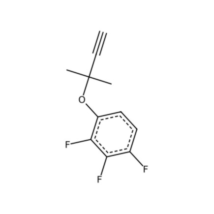 C#CC(C)(C)Oc1ccc(F)c(F)c1F